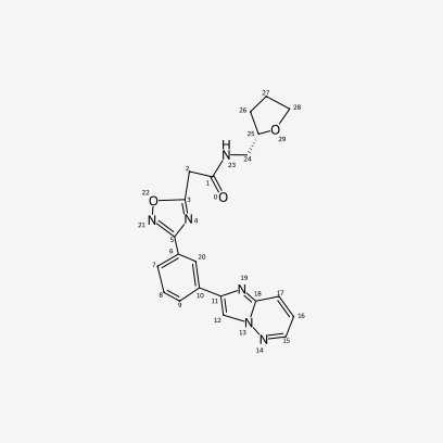 O=C(Cc1nc(-c2cccc(-c3cn4ncccc4n3)c2)no1)NC[C@@H]1CCCO1